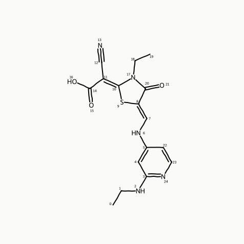 CCNc1cc(NC=c2sc(=C(C#N)C(=O)O)n(CC)c2=O)ccn1